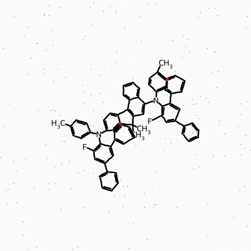 Cc1ccc(N(c2ccc3c(c2)C(C)(C)c2cc(N(c4ccc(C)cc4)c4c(F)cc(-c5ccccc5)cc4-c4ccccc4)c4ccccc4c2-3)c2c(F)cc(-c3ccccc3)cc2-c2ccccc2)cc1